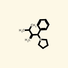 C=C(C(C)C)C(c1ccccc1)N1CCCC1